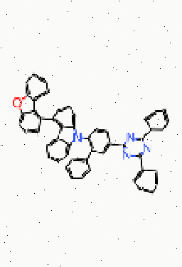 c1ccc(-c2nc(-c3ccccc3)nc(-c3ccc(-n4c5ccccc5c5c(-c6cccc7oc8ccccc8c67)cccc54)c(-c4ccccc4)c3)n2)cc1